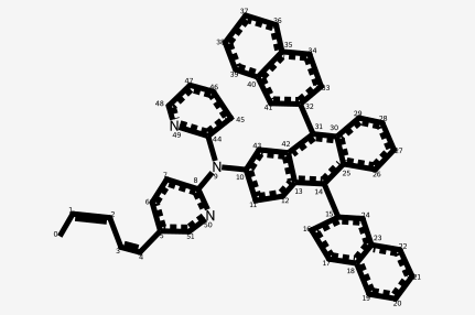 C/C=C\C=C/c1ccc(N(c2ccc3c(-c4ccc5ccccc5c4)c4ccccc4c(-c4ccc5ccccc5c4)c3c2)c2ccccn2)nc1